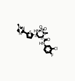 CN1[C@H](C(=O)Nc2ccc(F)c(Cl)c2)C[C@H](c2ccc(-c3ncn(C)n3)s2)NS1(=O)=O